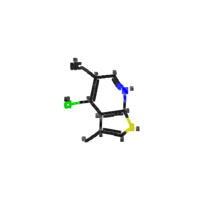 Cc1csc2ncc(C#N)c(Cl)c12